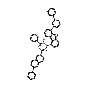 c1ccc(C2=NC(c3ccc4cc(-c5ccccc5)ccc4c3)=NC(c3cccc4oc5c(-c6cccc(-c7ccccc7)c6)cccc5c34)N2)cc1